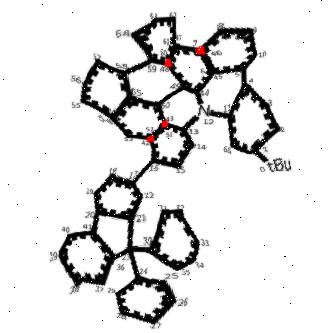 CC(C)(C)c1ccc(-c2ccccc2)c(N(c2ccc(-c3ccc4c(c3)C(c3ccccc3)(c3ccccc3)c3ccccc3-4)cc2)c2ccccc2-c2cccc3cccc(-c4ccccc4)c23)c1